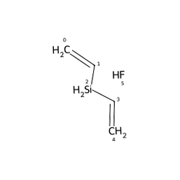 C=C[SiH2]C=C.F